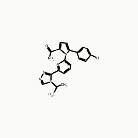 CC(C)n1cnnc1-c1cccc(-n2c(C(N)=O)ccc2-c2ccc(Cl)cc2)n1